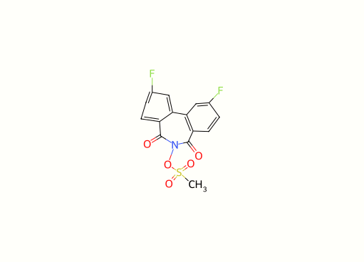 CS(=O)(=O)On1c(=O)c2ccc(F)cc2c2cc(F)ccc2c1=O